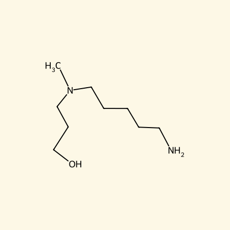 CN(CCCO)CCCCCN